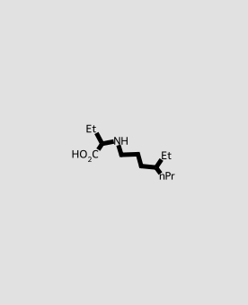 CCCC(CC)CCCNC(CC)C(=O)O